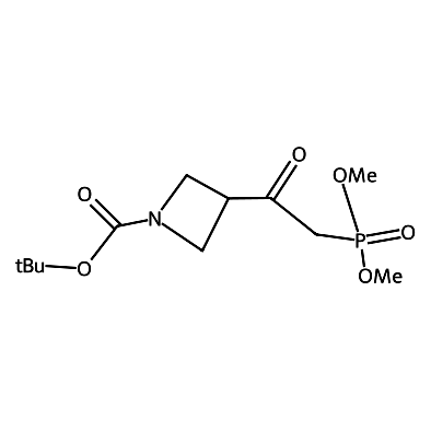 COP(=O)(CC(=O)C1CN(C(=O)OC(C)(C)C)C1)OC